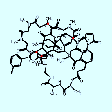 C=C(O)CN(C)C(=O)CN(C)C(=O)CN(C)C(=O)CN(C)C(=O)CN(C)C(=O)CN(C)C(=O)CN(C)C(=O)CN(C)C(=O)CN(C)C(=O)CN(C)C(=O)c1cc(N2C(=O)C=CC2=O)ccc1CCC(=O)N[C@@H](C)C(=O)N[C@@H](C)C(=O)NCOCC(=O)[C@@]12O[C@H](c3cccc(F)c3)O[C@@H]1C[C@H]1[C@@H]3C[C@H](F)C4=CC(=O)C=CC4[C@@]3(F)CC[C@@]12C